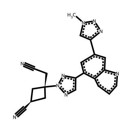 Cn1cc(-c2cc(-c3cnn([C@]4(CC#N)C[C@@H](C#N)C4)n3)c3cccnc3c2)nn1